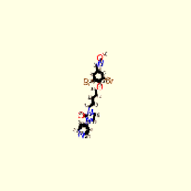 CO/N=C/c1cc(Br)c(OCCCCCN2CCN(c3ccncc3)C2=O)c(Br)c1